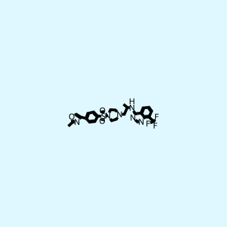 Cc1nc(-c2ccc(S(=O)(=O)N3CCN(CC(C)Nc4ncnc5c(C(F)(F)F)cccc45)CC3)cc2)co1